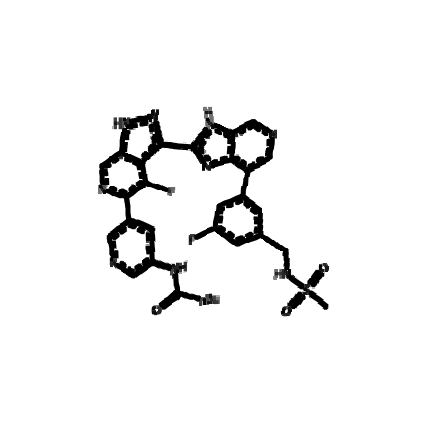 CCCCC(=O)Nc1cncc(-c2ncc3[nH]nc(-c4nc5c(-c6cc(F)cc(CNS(C)(=O)=O)c6)cncc5[nH]4)c3c2F)c1